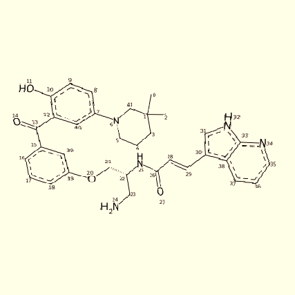 CC1(C)CCCN(c2ccc(O)c(C(=O)c3cccc(OC[C@@H](CN)NC(=O)C=Cc4c[nH]c5ncccc45)c3)c2)C1